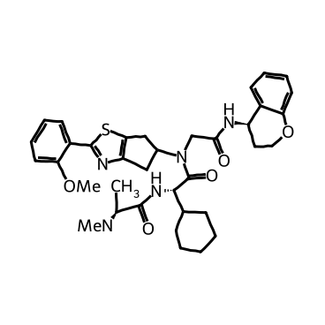 CN[C@@H](C)C(=O)N[C@H](C(=O)N(CC(=O)N[C@@H]1CCOc2ccccc21)C1Cc2nc(-c3ccccc3OC)sc2C1)C1CCCCC1